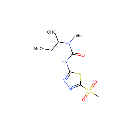 CCCCN(C(=O)Nc1nnc(S(C)(=O)=O)s1)C(C=O)COC